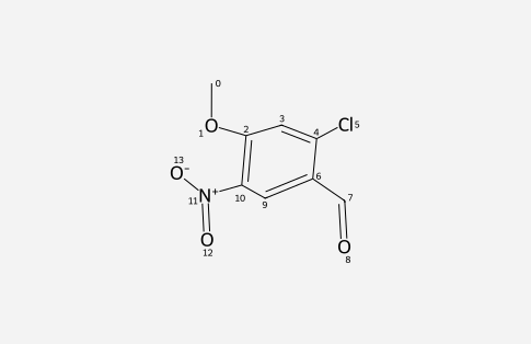 COc1cc(Cl)c(C=O)cc1[N+](=O)[O-]